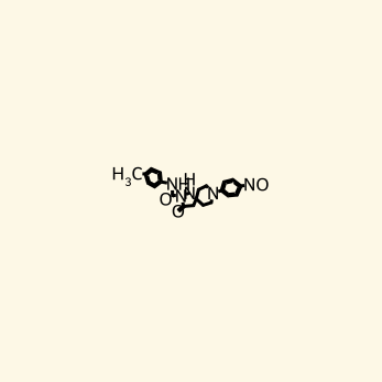 Cc1ccc(NC(=O)N2NC3(CCN(c4ccc(N=O)cc4)CC3)CC2=O)cc1